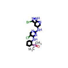 CP(C)(=O)c1ccccc1Nc1nc(Nc2cnc3[nH]nc(Br)c3c2)ncc1Cl